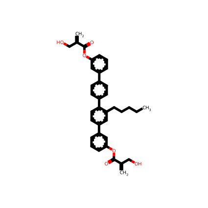 C=C(CO)C(=O)Oc1cccc(-c2ccc(-c3ccc(-c4cccc(OC(=O)C(=C)CO)c4)cc3CCCCC)cc2)c1